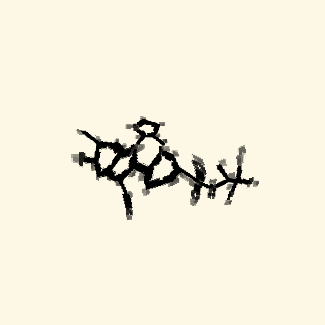 Cc1cc2c(cc1F)c(C#N)c(-c1ccc(S(=O)(=O)N[C@@H](C)C(F)(F)F)cn1)n2-c1sccc1C